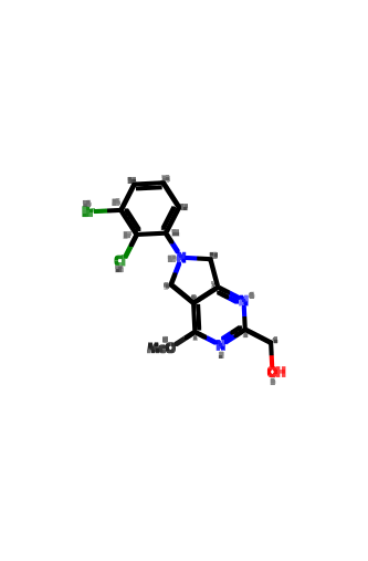 COc1nc(CO)nc2c1CN(c1cccc(Br)c1Cl)C2